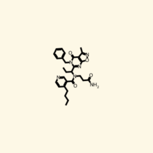 CCCCc1ccncc1C(=O)N(CCC(N)=O)C(CC)c1nc2onc(C)c2c(=O)n1Cc1ccccc1